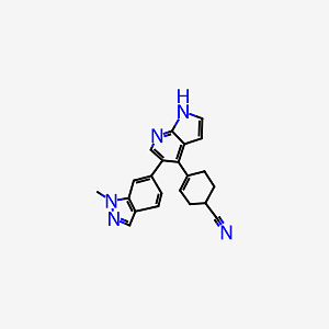 Cn1ncc2ccc(-c3cnc4[nH]ccc4c3C3=CCC(C#N)CC3)cc21